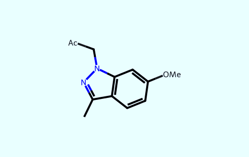 COc1ccc2c(C)nn(CC(C)=O)c2c1